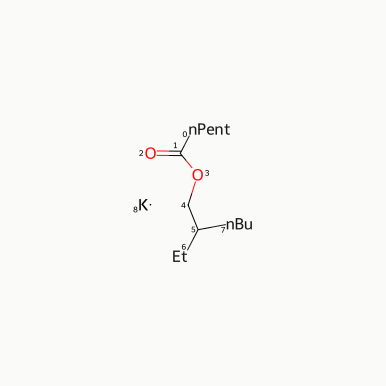 CCCCCC(=O)OCC(CC)CCCC.[K]